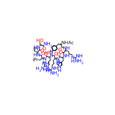 CC(=O)N[C@@H](Cc1ccc(O)cc1)C(=O)N[C@@H](CCCNC(=N)N)C(=O)N[C@@H](Cc1c[nH]cn1)C(=O)N[C@@H](CCCNC(=N)N)C(=O)N[C@@H](CCCNC(=N)N)C(=O)N[C@@H](CC(C)C)C(=O)N[C@@H](CC(C)C)C(=O)N[C@@H](CO)C(N)=O